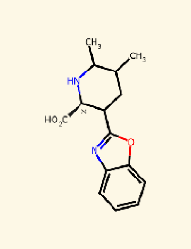 CC1CC(c2nc3ccccc3o2)[C@@H](C(=O)O)NC1C